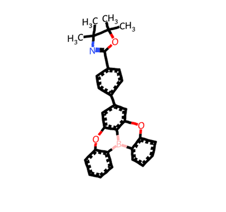 CC1(C)N=C(c2ccc(-c3cc4c5c(c3)Oc3ccccc3B5c3ccccc3O4)cc2)OC1(C)C